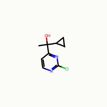 CC(O)(c1ccnc(Cl)n1)C1CC1